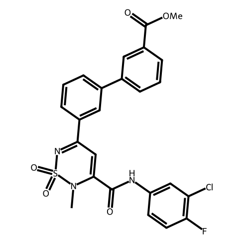 COC(=O)c1cccc(-c2cccc(C3=NS(=O)(=O)N(C)C(C(=O)Nc4ccc(F)c(Cl)c4)=C3)c2)c1